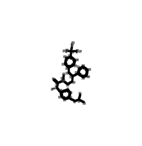 C=C([C@@H](C)c1ccc(CC(C)C)cc1)N(C)CCC(Cc1ccc(C(F)(F)F)cc1)c1ccccc1